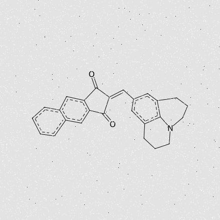 O=C1C(=Cc2cc3c4c(c2)CCCN4CCC3)C(=O)c2cc3ccccc3cc21